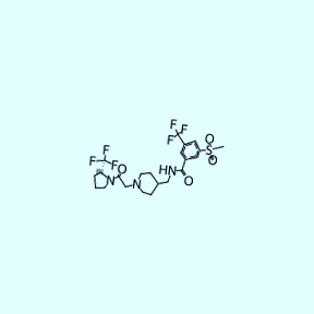 CS(=O)(=O)c1cc(C(=O)NCC2CCN(CC(=O)N3CCC[C@@H]3C(F)(F)F)CC2)cc(C(F)(F)F)c1